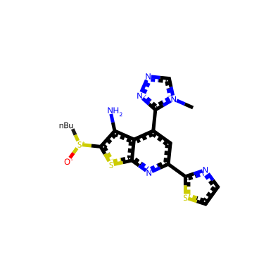 CCCC[S+]([O-])c1sc2nc(-c3nccs3)cc(-c3nncn3C)c2c1N